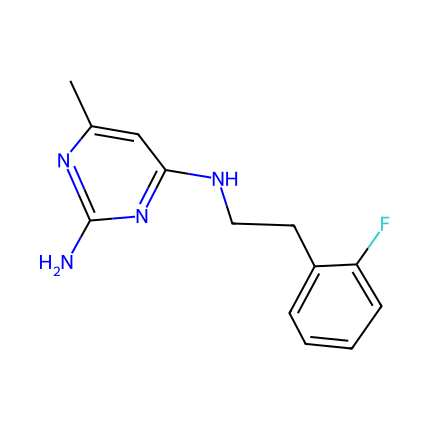 Cc1cc(NCCc2ccccc2F)nc(N)n1